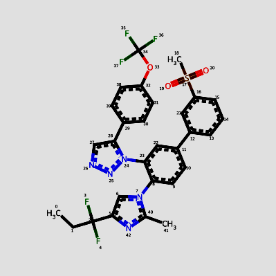 CCC(F)(F)c1cn(-c2ccc(-c3cccc(S(C)(=O)=O)c3)cc2-n2nncc2-c2ccc(OC(F)(F)F)cc2)c(C)n1